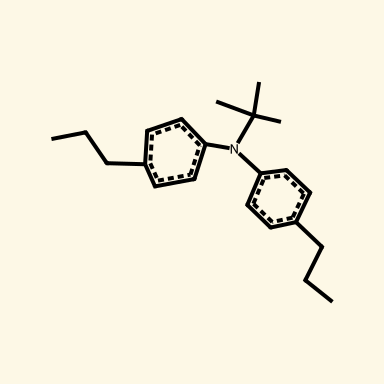 CCCc1ccc(N(c2ccc(CCC)cc2)C(C)(C)C)cc1